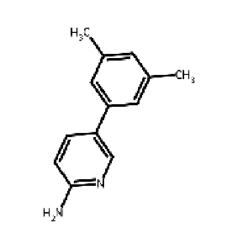 Cc1cc(C)cc(-c2ccc(N)nc2)c1